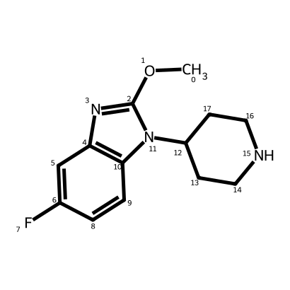 COc1nc2cc(F)ccc2n1C1CCNCC1